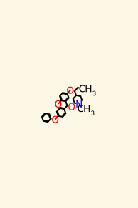 CCC(Oc1ccc2oc3cc(Oc4ccccc4)ccc3c(=O)c2c1)C1CCN(C)CC1